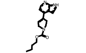 CCCCOC(=O)N1CC=C(c2ccnc3[nH]ccc23)CC1